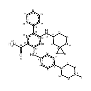 CN1CCN(c2ccc(Nc3nc(NC4CCOC5(CC5)C4)c(-c4ccccn4)nc3C(N)=O)cc2)CC1